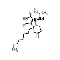 CCCCCCCCC1(C2=C(C)C(=O)NC2=O)CNCCN1C(=O)NC(C)C